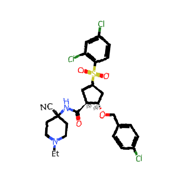 CCN1CCC(C#N)(NC(=O)[C@H]2CC(S(=O)(=O)c3ccc(Cl)cc3Cl)C[C@@H]2OCc2ccc(Cl)cc2)CC1